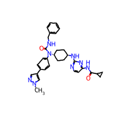 Cn1cc(-c2ccc(N(C(=O)NCc3ccccc3)[C@H]3CC[C@H](Nc4nccc(NC(=O)C5CC5)n4)CC3)cc2)cn1